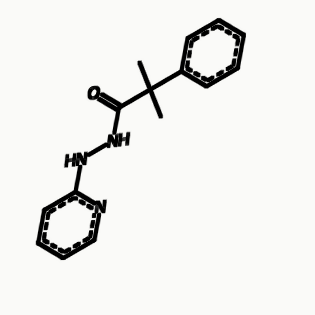 CC(C)(C(=O)NNc1ccccn1)c1ccccc1